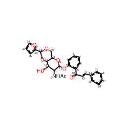 CC(=O)NC1C(Oc2ccccc2C(=O)/C=C/c2ccccc2)OC2COC(c3ccco3)OC2C1O